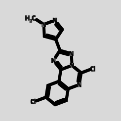 Cn1cc(-c2nc3c4cc(Cl)ccc4nc(Cl)n3n2)cn1